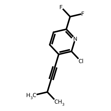 CC(C)C#Cc1ccc(C(F)F)nc1Cl